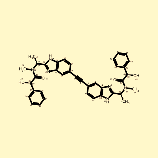 C[C@@H](c1nc2cc(C#Cc3ccc4[nH]c([C@H](C)N(C)C(=O)[C@H](O)c5ccccc5)nc4c3)ccc2[nH]1)N(C)C(=O)[C@H](O)c1ccccc1